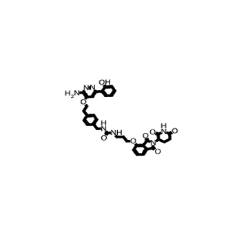 Nc1nnc(-c2ccccc2O)cc1OCCc1ccc(CNC(=O)NCCCOc2cccc3c2C(=O)N(C2CCC(=O)NC2=O)C3=O)cc1